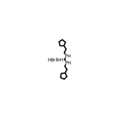 Br.Br.C1CCC(CCPCPCCC2CCCC2)C1